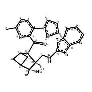 Cc1ccc(-n2nccn2)c(C(=O)N2C3CC(C3)[C@H](C)[C@@H]2CNc2nc3ccccc3o2)n1